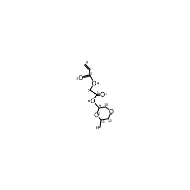 C=CC(=O)OCC(=O)OC1COCC(C)O1